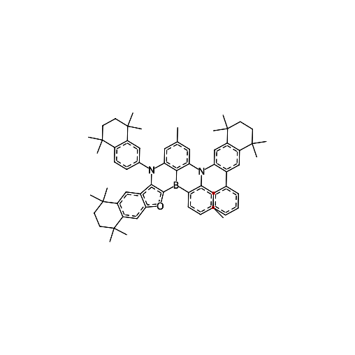 Cc1ccc2c(c1)N(c1cc3c(cc1-c1ccccc1)C(C)(C)CCC3(C)C)c1cc(C)cc3c1B2c1oc2cc4c(cc2c1N3c1ccc2c(c1)C(C)(C)CCC2(C)C)C(C)(C)CCC4(C)C